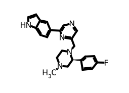 CN1CCN(Cc2cncc(-c3ccc4[nH]ccc4c3)n2)[C@@H](c2ccc(F)cc2)C1